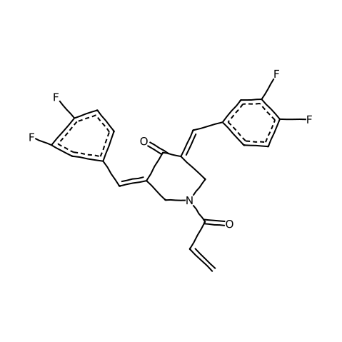 C=CC(=O)N1CC(=Cc2ccc(F)c(F)c2)C(=O)C(=Cc2ccc(F)c(F)c2)C1